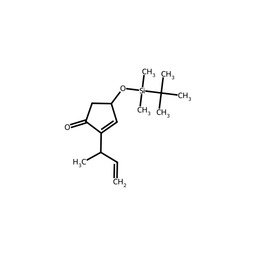 C=CC(C)C1=CC(O[Si](C)(C)C(C)(C)C)CC1=O